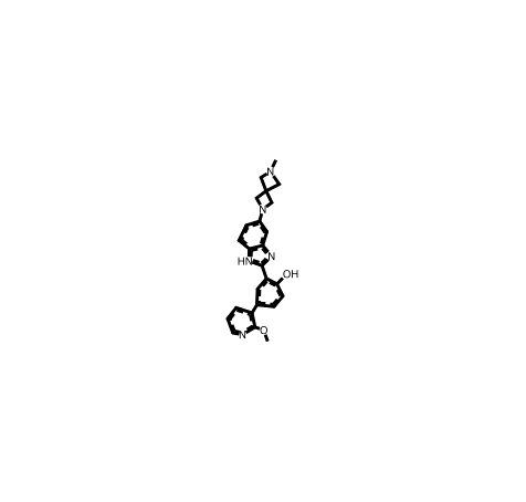 COc1ncccc1-c1ccc(O)c(-c2nc3cc(N4CC5(CN(C)C5)C4)ccc3[nH]2)c1